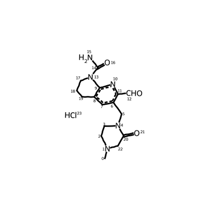 CN1CCN(Cc2cc3c(nc2C=O)N(C(N)=O)CCC3)C(=O)C1.Cl